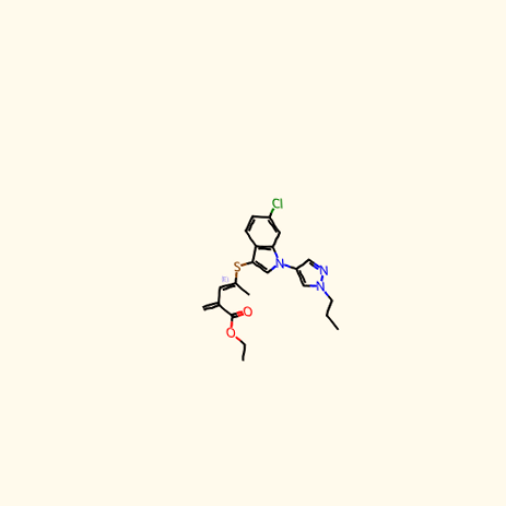 C=C(/C=C(\C)Sc1cn(-c2cnn(CCC)c2)c2cc(Cl)ccc12)C(=O)OCC